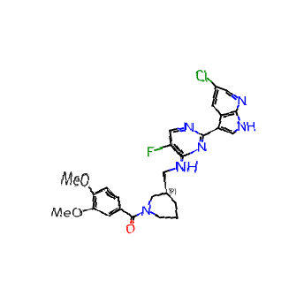 COc1ccc(C(=O)N2CCC[C@H](CNc3nc(-c4c[nH]c5ncc(Cl)cc45)ncc3F)C2)cc1OC